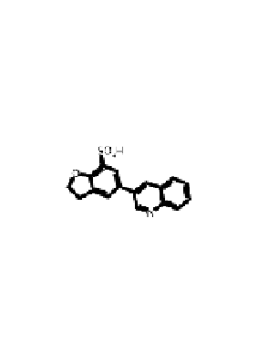 O=S(=O)(O)c1cc(-c2cnc3ccccc3c2)cc2c1OCC2